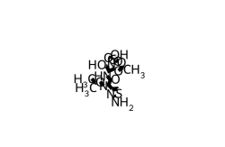 CC(=O)O[C@H]1[C@@H](NC(=O)C(=NOC(C)C)c2csc(N)n2)C(O)N1S(=O)(=O)O